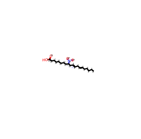 CCCCCC=CC/C=C/CC(CCCCCCCC(=O)O)[N+](=O)[O-]